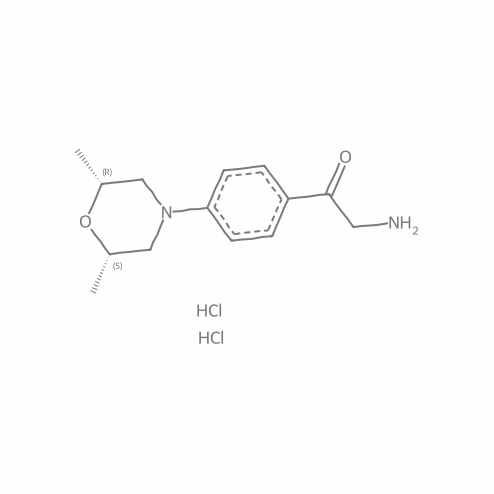 C[C@@H]1CN(c2ccc(C(=O)CN)cc2)C[C@H](C)O1.Cl.Cl